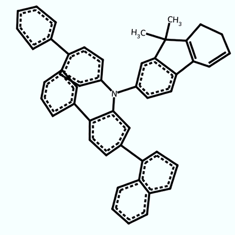 CC1(C)C2=C(C=CCC2)c2ccc(N(c3ccc(-c4ccccc4)cc3)c3cc(-c4cccc5ccccc45)ccc3-c3ccccc3)cc21